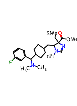 CCCN1C=NC(CSC)(C(=O)OC)C1CC1CCC(C(c2cccc(F)c2)N(C)C)CC1